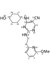 COc1cccc(CCNc2ncc(C#N)c(N[C@H]3CC[C@@H](O)CC3)n2)n1